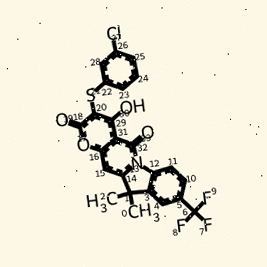 CC1(C)c2cc(C(F)(F)F)ccc2-n2c1cc1oc(=O)c(Sc3cccc(Cl)c3)c(O)c1c2=O